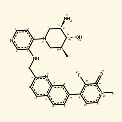 C[C@H]1CN(c2ccncc2NCc2ccc3ccc(-c4ccn(C)c(=O)c4F)cc3n2)C[C@@H](N)[C@@H]1O